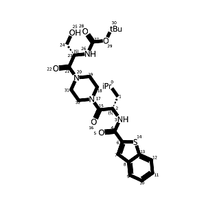 CC(C)C[C@H](NC(=O)c1cc2ccccc2s1)C(=O)N1CCN(C(=O)[C@H](CO)NC(=O)OC(C)(C)C)CC1